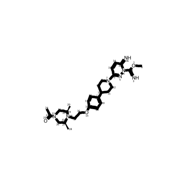 COC(=N)n1nc(N2CCC(c3ccc(OCCN4[C@H](C)CN(C(C)=O)C[C@@H]4C)cc3)CC2)ccc1=N